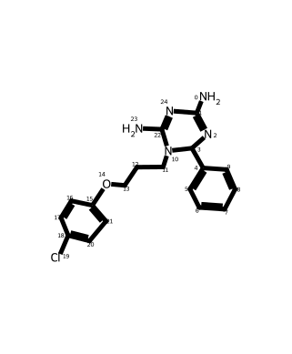 NC1=NC(c2ccccc2)N(CCCOc2ccc(Cl)cc2)C(N)=N1